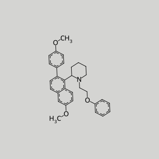 COc1ccc(-c2ccc3cc(OC)ccc3c2C2CCCCN2CCOc2ccccc2)cc1